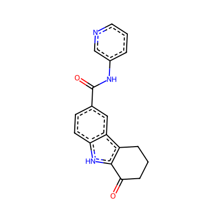 O=C(Nc1cccnc1)c1ccc2[nH]c3c(c2c1)CCCC3=O